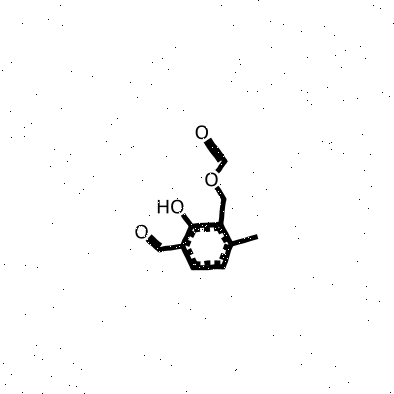 Cc1ccc(C=O)c(O)c1COC=O